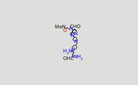 CNC(=O)CCN(C=O)c1ccnc2c1ccn2C1CCN(CC2CCN(/C(N)=C/C=C(\N)C=O)CC2)CC1